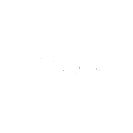 C=CC(=O)N1CCN(Cc2ccc(C(C)C)cc2)CC1